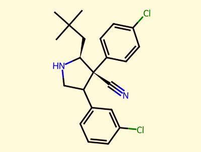 CC(C)(C)C[C@@H]1NCC(c2cccc(Cl)c2)[C@@]1(C#N)c1ccc(Cl)cc1